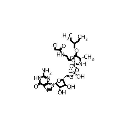 CCC(CC)COC(=O)[C@H](C)NP(=O)(OCCNC(=O)CCl)OP(=O)(O)OC[C@H]1O[C@@H](n2cnc3c(=O)[nH]c(N)nc32)[C@H](O)[C@@H]1O